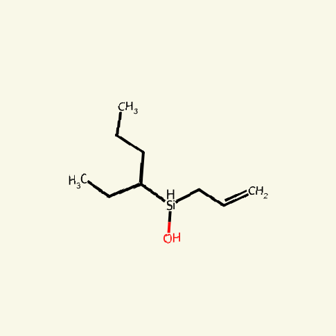 C=CC[SiH](O)C(CC)CCC